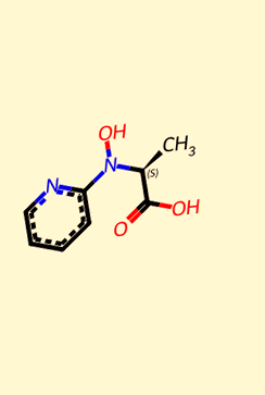 C[C@@H](C(=O)O)N(O)c1ccccn1